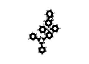 c1ccc(-c2nc(-c3ccccc3)nc(-c3cccc([Si](c4ccccc4)(c4ccccc4)c4ccc5c(c4)sc4ccccc45)c3)n2)cc1